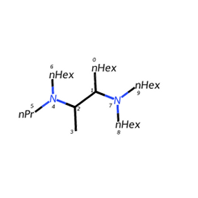 CCCCCCC(C(C)N(CCC)CCCCCC)N(CCCCCC)CCCCCC